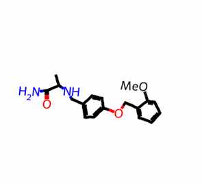 COc1ccccc1COc1ccc(CNC(C)C(N)=O)cc1